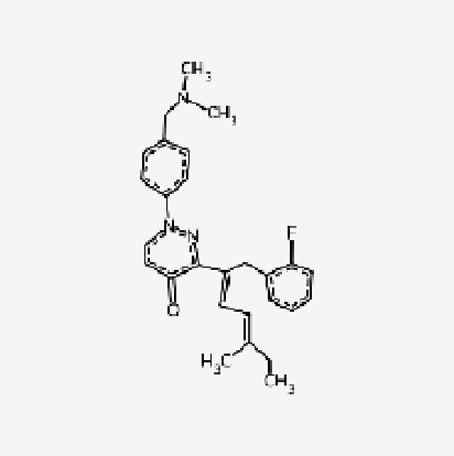 CC/C(C)=C/C=C(\Cc1ccccc1F)c1nn(-c2ccc(CN(C)C)cc2)ccc1=O